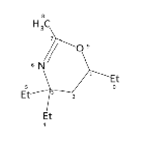 CCC1CC(CC)(CC)N=C(C)O1